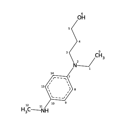 CCN(CCCO)c1ccc(NC)cc1